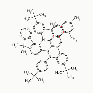 Cc1cc(C)c(-c2cc3c4c(c2)N(c2ccc(C(C)(C)C)cc2-c2ccccc2)c2c(ccc5c2-c2ccccc2C5(C)C)B4N(c2ccc(C(C)(C)C)cc2)c2cc(C(C)(C)C)ccc2-3)c(C)c1